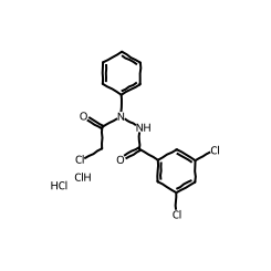 Cl.Cl.O=C(NN(C(=O)CCl)c1ccccc1)c1cc(Cl)cc(Cl)c1